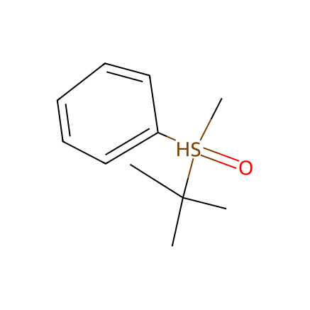 CC(C)(C)[SH](C)(=O)c1ccccc1